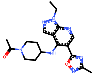 CCn1ncc2c(NC3CCN(C(C)=O)CC3)c(-c3nc(C)no3)cnc21